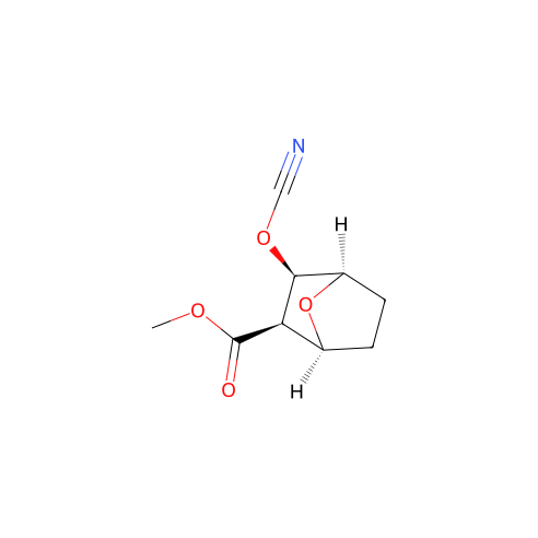 COC(=O)[C@H]1[C@@H](OC#N)[C@H]2CC[C@@H]1O2